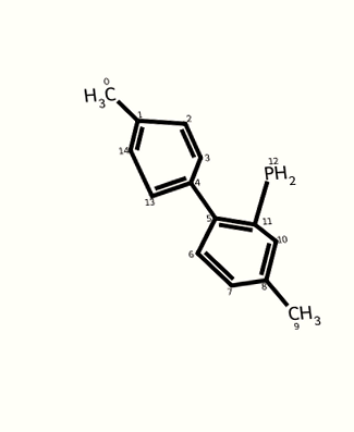 Cc1ccc(-c2ccc(C)cc2P)cc1